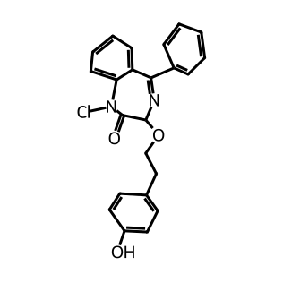 O=C1C(OCCc2ccc(O)cc2)N=C(c2ccccc2)c2ccccc2N1Cl